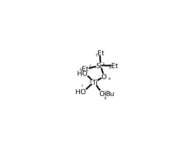 CC[Si](CC)(CC)[O][Ti]([OH])([OH])[O]CC(C)C